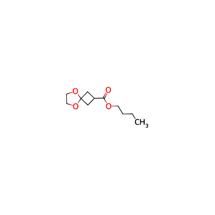 CCCCOC(=O)C1CC2(C1)OCCO2